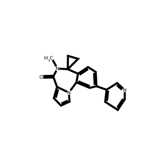 CN1C(=O)c2cccn2-c2cc(-c3cccnc3)ccc2C12CC2